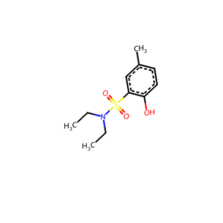 CCN(CC)S(=O)(=O)c1cc(C)ccc1O